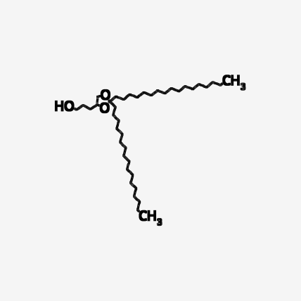 CCCCCCCCCCCCCCCCCC1(CCCCCCCCCCCCCCCCC)OCC(CCCO)O1